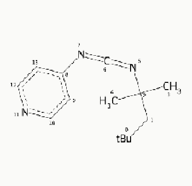 CC(C)(C)CC(C)(C)N=C=Nc1ccncc1